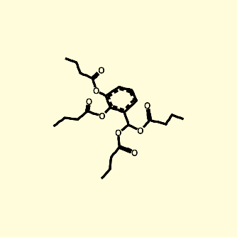 CCCC(=O)Oc1cccc(C(OC(=O)CCC)OC(=O)CCC)c1OC(=O)CCC